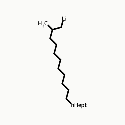 [Li][CH2]C(C)CCCCCCCCCCCCCCCC